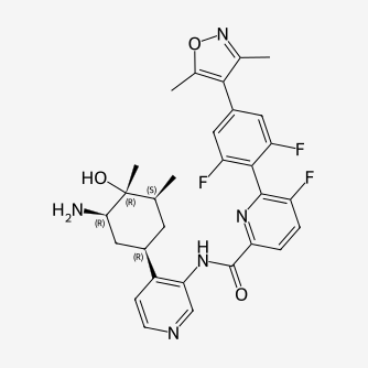 Cc1noc(C)c1-c1cc(F)c(-c2nc(C(=O)Nc3cnccc3[C@H]3C[C@@H](N)[C@](C)(O)[C@@H](C)C3)ccc2F)c(F)c1